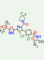 CC(C)NS(=O)(=O)c1ccc(-c2sc(-c3nnc(C(C)(C)O)o3)nc2C(=O)N2CCC(F)(F)C2)c(Cl)c1Cl